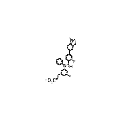 [2H]C(c1ccc(-c2ccc3c(cnn3C)c2)cc1F)N(c1ccccc1)c1cc(F)cc(/C=C/C(=O)O)c1